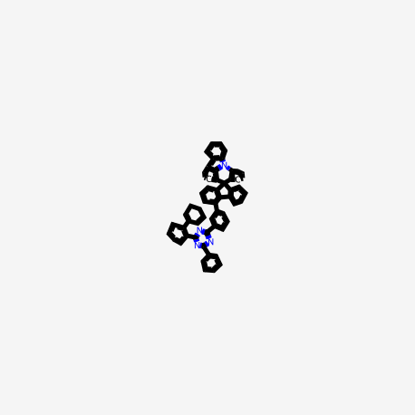 C1=CC(c2ccccc2-c2nc(-c3ccccc3)nc(-c3cccc(-c4cccc5c4-c4ccccc4C54c5ccccc5-n5c6ccccc6c6cccc4c65)c3)n2)=CCC1